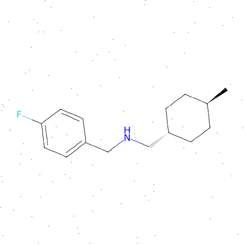 C[C@H]1CC[C@H](CNCc2ccc(F)cc2)CC1